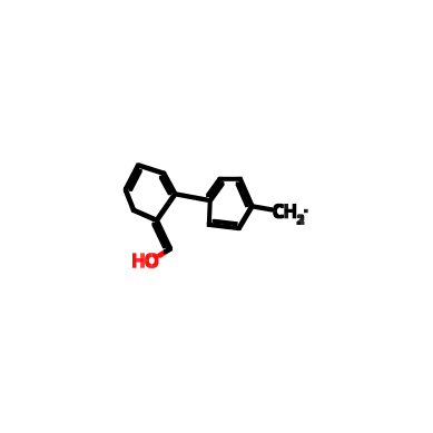 [CH2]c1ccc(C2=CC=CCC2=CO)cc1